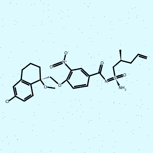 C=CC[C@H](C)C[S@](N)(=O)=NC(=O)c1ccc(OC[C@@]2(OC)CCCc3cc(Cl)ccc32)c([N+](=O)[O-])c1